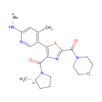 CC[C@@H](C)Nc1cc(C)c(-c2sc(C(=O)N3CCOCC3)nc2C(=O)N2CCC[C@@H]2C)cn1